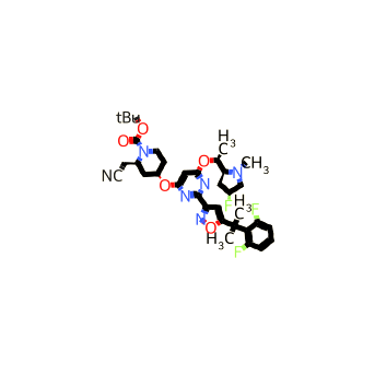 C[C@H](Oc1cc(O[C@H]2CCN(C(=O)OC(C)(C)C)[C@H](CC#N)C2)nc(-c2cc(C(C)(C)c3c(F)cccc3F)on2)n1)[C@@H]1C[C@H](F)CN1C